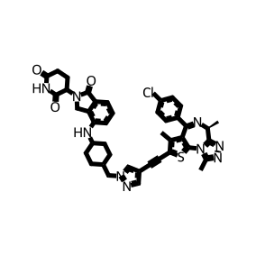 Cc1c(C#Cc2cnn(CC3CCC(Nc4cccc5c4CN(C4CCC(=O)NC4=O)C5=O)CC3)c2)sc2c1C(c1ccc(Cl)cc1)=N[C@@H](C)c1nnc(C)n1-2